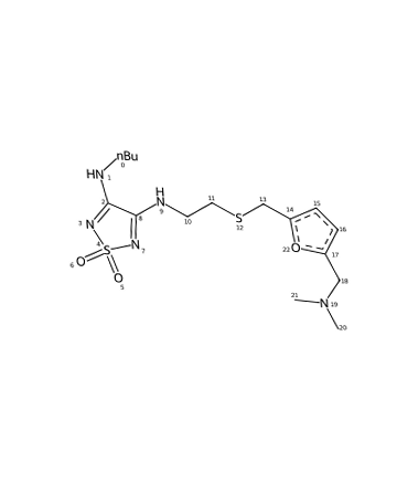 CCCCNC1=NS(=O)(=O)N=C1NCCSCc1ccc(CN(C)C)o1